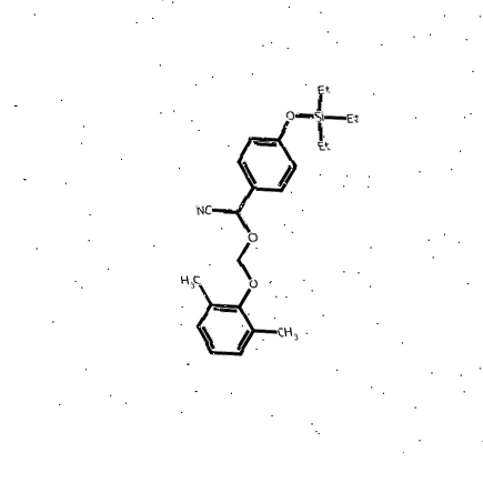 CC[Si](CC)(CC)Oc1ccc(C(C#N)OCOc2c(C)cccc2C)cc1